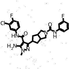 Cn1nc(C2CC3CN(C(=O)Nc4cccc(F)c4)CC3C2)c(C(=O)Nc2ccc(F)c(Cl)c2)c1N